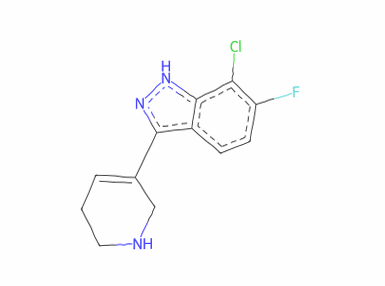 Fc1ccc2c(C3=CCCNC3)n[nH]c2c1Cl